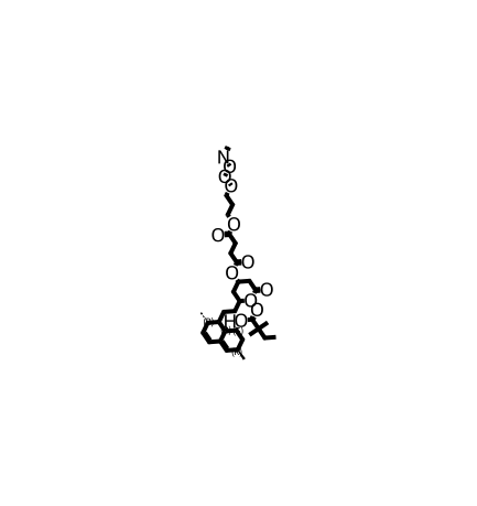 C=NOOOCCCOC(=O)CCC(=O)OC1CC(=O)OC(CCC2[C@@H](C)C=CC3=C[C@H](C)C[C@H](OC(=O)C(C)(C)CC)[C@@H]32)C1